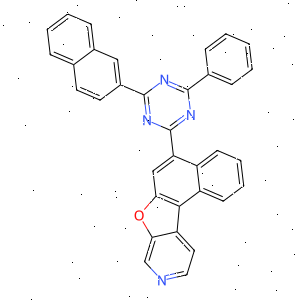 c1ccc(-c2nc(-c3ccc4ccccc4c3)nc(-c3cc4oc5cnccc5c4c4ccccc34)n2)cc1